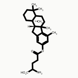 Cc1cc(OC(=O)CCC(N)C(=O)O)cc2c1C1(C)CCC3C(C)(C)CCC[C@]3(C)[C@H]1C2